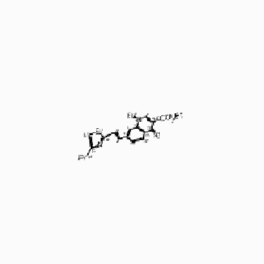 CCOC(=O)c1cn(CC)c2cc(C=Cc3nc(C(C)C)cs3)ccc2c1=O